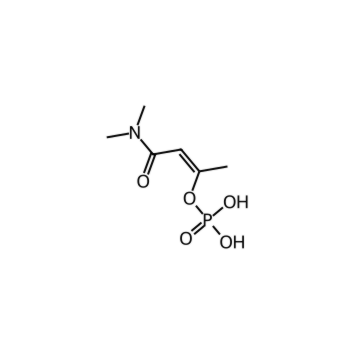 CC(=CC(=O)N(C)C)OP(=O)(O)O